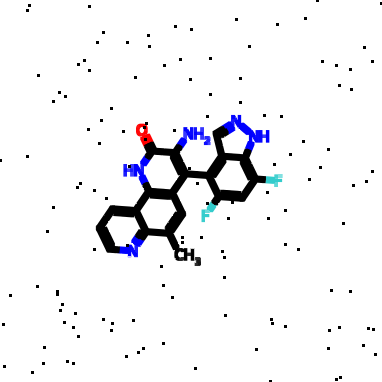 Cc1cc2c(-c3c(F)cc(F)c4[nH]ncc34)c(N)c(=O)[nH]c2c2cccnc12